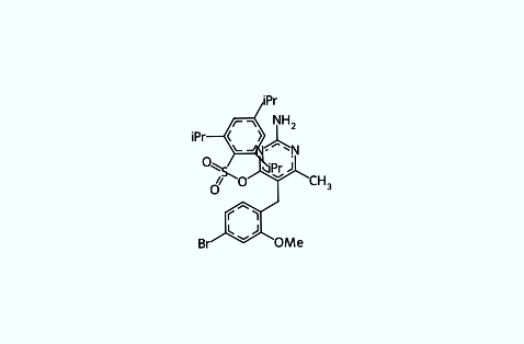 COc1cc(Br)ccc1Cc1c(C)nc(N)nc1OS(=O)(=O)c1c(C(C)C)cc(C(C)C)cc1C(C)C